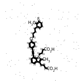 Cc1c(F)cccc1CCCCOc1ccc(C#Cc2cccc3c(CCCC(=O)O)c(C)n(CCCC(=O)O)c23)cc1